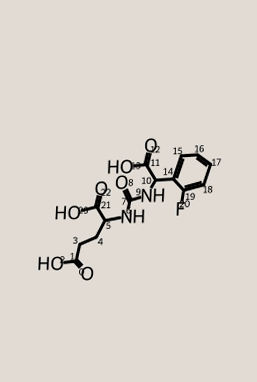 O=C(O)CCC(NC(=O)NC(C(=O)O)c1ccccc1F)C(=O)O